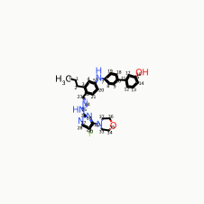 CCCc1cc(Nc2ccc(-c3cccc(O)c3)cc2)ccc1/C=N/Nc1ncc(F)c(N2CCOCC2)n1